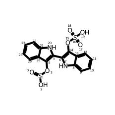 O=S(O)Oc1c(-c2[nH]c3ccccc3c2OS(=O)(=O)O)[nH]c2ccccc12